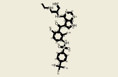 CCN/C=C(\C=N)Nc1ncnc2[nH]cc(C(=O)c3c(F)ccc(NS(=O)(=O)c4ccc(C(F)(F)F)cc4)c3F)c12